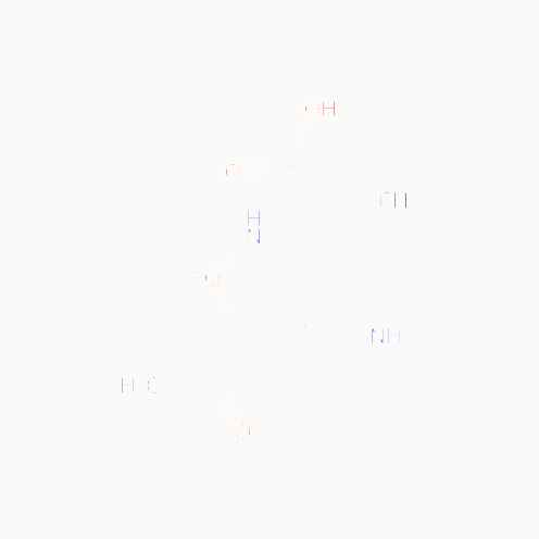 CC(=O)C1=CC(CN)(C(C)C(=O)O)NO1